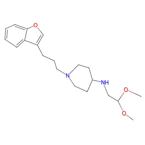 COC(CNC1CCN(CCCc2coc3ccccc23)CC1)OC